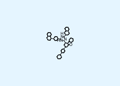 c1ccc(-c2ccc(-c3cc(C4N=C(c5ccc6ccccc6c5)NC(c5ccc(-c6cccc7ccccc67)cc5)N4)c4c(c3)oc3ccccc34)cc2)cc1